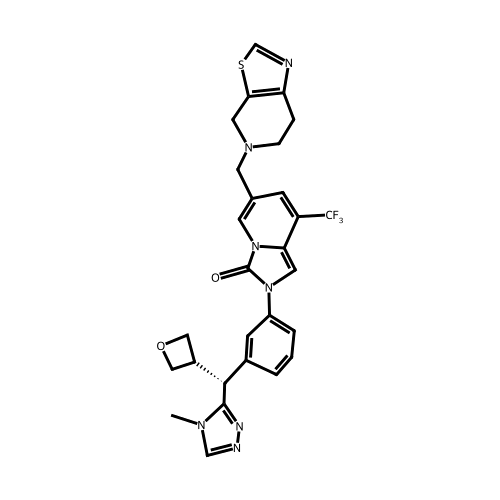 Cn1cnnc1[C@@H](c1cccc(-n2cc3c(C(F)(F)F)cc(CN4CCc5ncsc5C4)cn3c2=O)c1)C1COC1